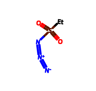 CCS(=O)(=O)N=[N+]=[N-]